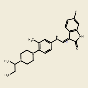 CCC(C)N1CCN(c2ccc(N/C=C3/C(=O)Nc4cc(F)ccc43)cc2C)CC1